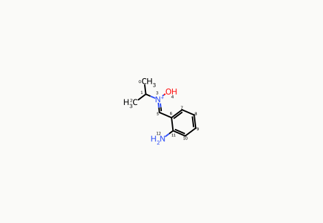 CC(C)[N+](O)=Cc1ccccc1N